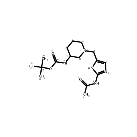 CC(=O)Nc1ncc(CN2CCCC(NC(=O)OC(C)(C)C)C2)s1